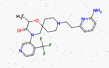 CC1OC2(CCN(CCc3cccc(N)n3)CC2)CN(c2cnccc2C(F)(F)F)C1=O